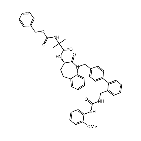 COc1ccccc1NC(=O)NCc1ccccc1-c1ccc(CN2C(=O)[C@H](NC(=O)C(C)(C)NC(=O)OCc3ccccc3)CCc3ccccc32)cc1